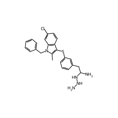 Cc1c(Sc2cccc(CC(N)NNN)c2)c2ccc(Cl)cc2n1Cc1ccccc1